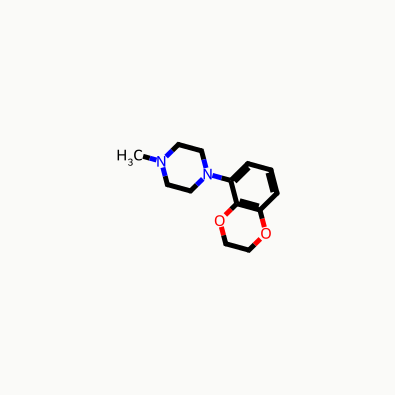 CN1CCN(c2cccc3c2OCCO3)CC1